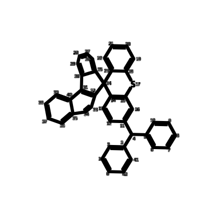 c1ccc(C(c2ccccc2)c2ccc3c(c2)Sc2ccccc2C32c3ccccc3-c3c2ccc2ccccc32)cc1